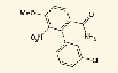 COc1ccc(C(N)=O)c(-c2cccc(Cl)c2)c1[N+](=O)[O-]